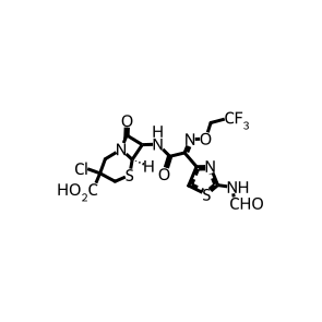 O=CNc1nc(C(=NOCC(F)(F)F)C(=O)NC2C(=O)N3CC(Cl)(C(=O)O)CS[C@H]23)cs1